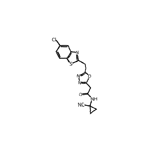 N#CC1(NC(=O)Cc2nnc(Cc3nc4cc(Cl)ccc4s3)o2)CC1